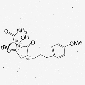 COc1ccc(CCC[C@@H]2CC(=O)[N+](O)([C@H](C(N)=O)C(C)(C)C)C2=O)cc1